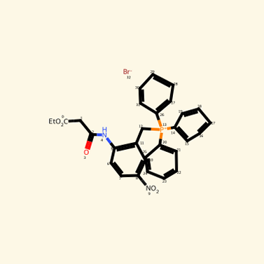 CCOC(=O)CC(=O)Nc1ccc([N+](=O)[O-])cc1C[P+](c1ccccc1)(c1ccccc1)c1ccccc1.[Br-]